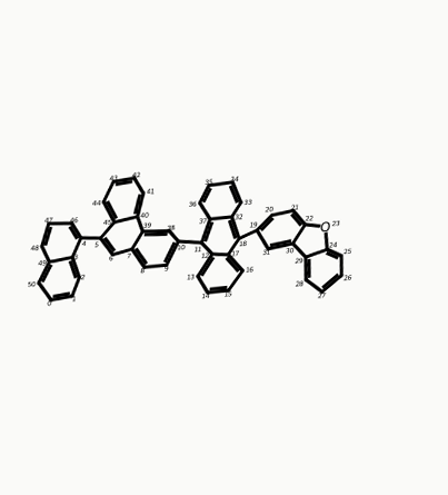 c1ccc2c(-c3cc4ccc(-c5c6ccccc6c(-c6ccc7oc8ccccc8c7c6)c6ccccc56)cc4c4ccccc34)cccc2c1